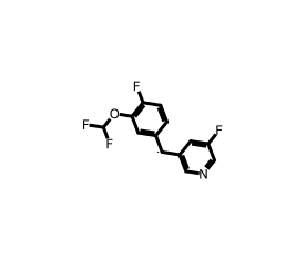 Fc1cncc([CH]c2ccc(F)c(OC(F)F)c2)c1